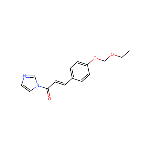 CCOCOc1ccc(/C=C/C(=O)n2ccnc2)cc1